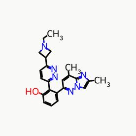 CCN1CC(c2ccc(-c3c(O)cccc3-c3cc(C)c4nc(C)cn4n3)nn2)C1